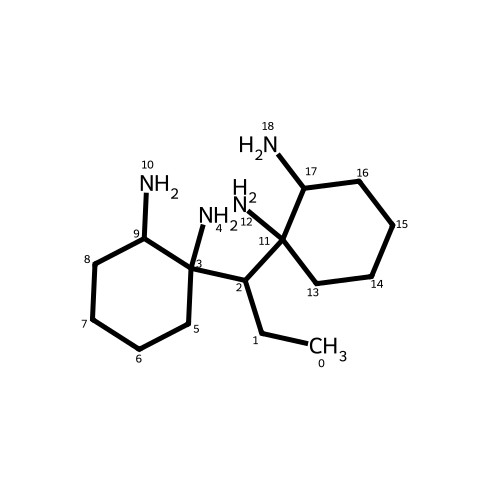 CCC(C1(N)CCCCC1N)C1(N)CCCCC1N